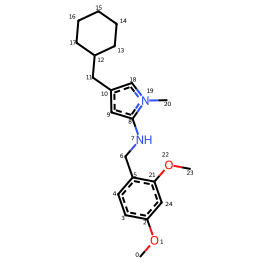 COc1ccc(CNc2cc(CC3CCCCC3)cn2C)c(OC)c1